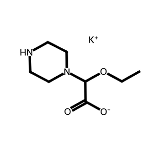 CCOC(C(=O)[O-])N1CCNCC1.[K+]